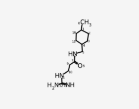 CC1CCC(CNC(=O)CCNC(=N)N)CC1